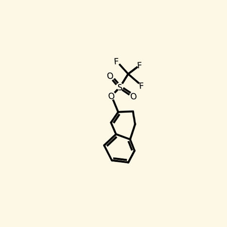 O=S(=O)(OC1=Cc2ccccc2CC1)C(F)(F)F